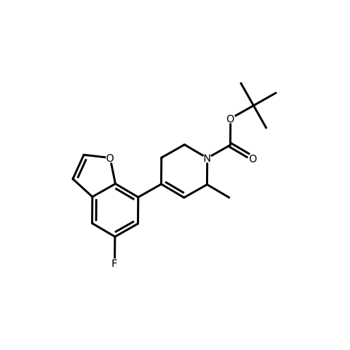 CC1C=C(c2cc(F)cc3ccoc23)CCN1C(=O)OC(C)(C)C